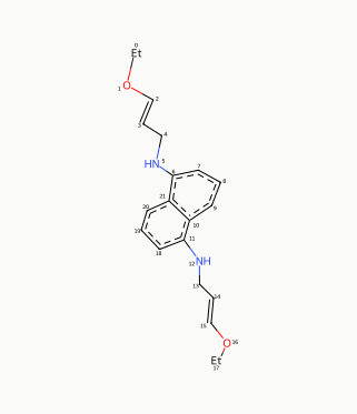 CCOC=CCNc1cccc2c(NCC=COCC)cccc12